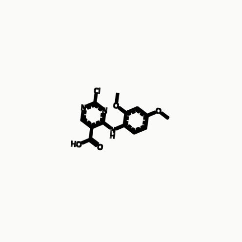 COc1ccc(Nc2nc(Cl)ncc2C(=O)O)c(OC)c1